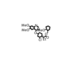 CCN(C(=O)OCc1ccccc1OC)c1ccc(Oc2ncnc3cc(OC)c(OC)cc23)cc1Cl